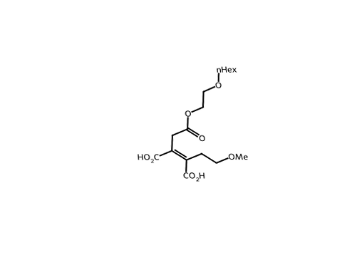 CCCCCCOCCOC(=O)CC(C(=O)O)=C(CCOC)C(=O)O